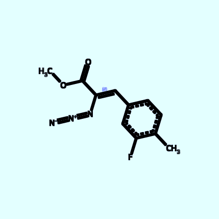 COC(=O)/C(=C/c1ccc(C)c(F)c1)N=[N+]=[N-]